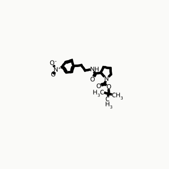 CC(C)(C)OC(=O)N1CCCC1C(=O)NCCc1ccc([N+](=O)[O-])cc1